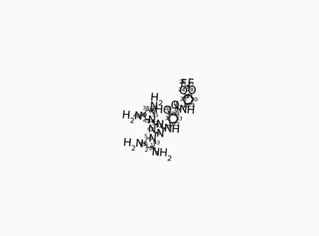 N[C@@H]1C[C@H](N)CN(c2nc(Nc3ccc(C(=O)Nc4ccc5c(c4)OC(F)(F)O5)c(O)c3)nc(N3C[C@H](N)C[C@H](N)C3)n2)C1